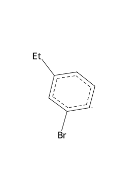 CCc1cc[c]c(Br)c1